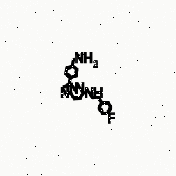 NCc1ccc(-c2cnc3ccc(NCCc4ccc(F)cc4)nn23)cc1